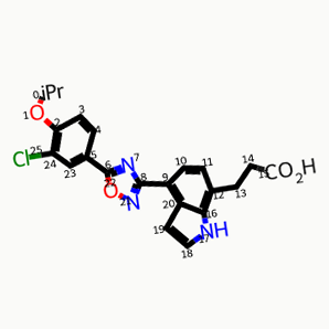 CC(C)Oc1ccc(-c2nc(-c3ccc(CCC(=O)O)c4[nH]ccc34)no2)cc1Cl